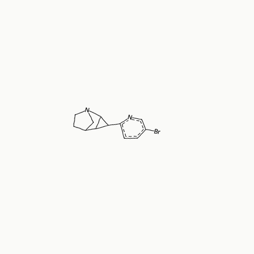 Brc1ccc(C2C3C4CCN(C4)C23)nc1